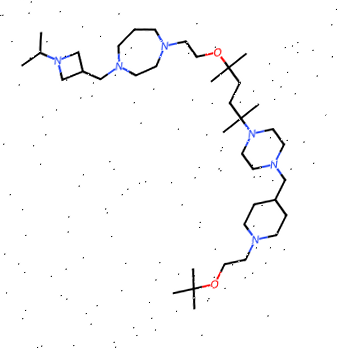 CC(C)N1CC(CN2CCCN(CCOC(C)(C)CCC(C)(C)N3CCN(CC4CCN(CCOC(C)(C)C)CC4)CC3)CC2)C1